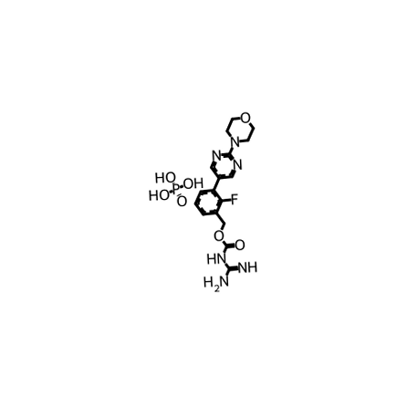 N=C(N)NC(=O)OCc1cccc(-c2cnc(N3CCOCC3)nc2)c1F.O=P(O)(O)O